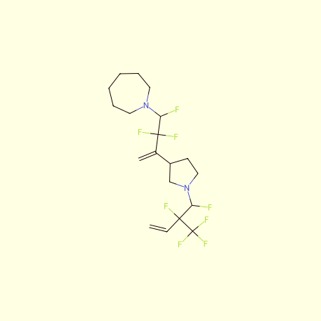 C=CC(F)(C(F)N1CCC(C(=C)C(F)(F)C(F)N2CCCCCC2)C1)C(F)(F)F